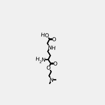 CN(C)CCOC(=O)C(N)CCNCC(=O)O